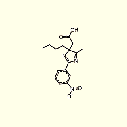 CCCCC1(CC(=O)O)N=C(c2cccc([N+](=O)[O-])c2)N=C1C